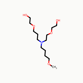 COCCCCN(CCCOCCO)CCOCCO